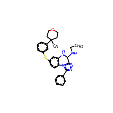 N#CC1(c2cccc(Sc3ccc4c(c3)NC(NCC=O)c3nnc(-c5ccccc5)n3-4)c2)CCOCC1